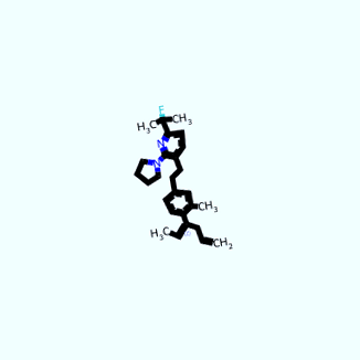 C=CC/C(=C/C)c1ccc(CCc2ccc(C(C)(C)F)nc2N2CCCC2)cc1C